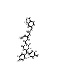 N=N/C(=C\NSc1ccc2c(c1)OCC2)CCN1CCC(=C(c2ccc(F)cc2)c2ccc(F)cc2)CC1